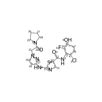 O=C(Nc1c(Cl)ccc(O)c1F)c1cnc(Nc2ccn(CC(=O)N3CCCC3)n2)s1